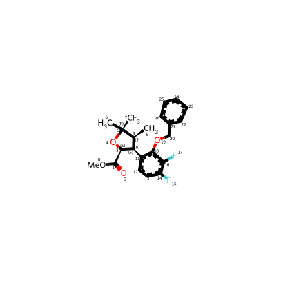 COC(=O)[C@H]1O[C@@](C)(C(F)(F)F)[C@@H](C)[C@H]1c1ccc(F)c(F)c1OCc1ccccc1